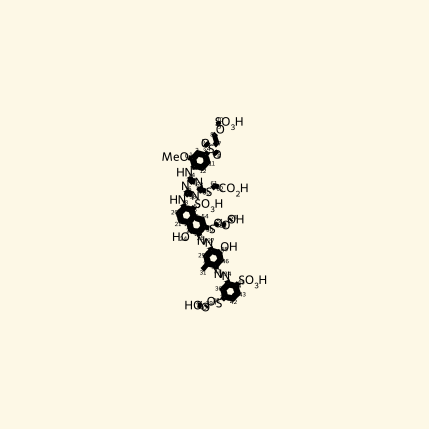 COc1cc(S(=O)(=O)CCOS(=O)(=O)O)ccc1Nc1nc(Nc2ccc3c(O)c(N=Nc4cc(C)c(N=Nc5cc(SOOO)ccc5S(=O)(=O)O)cc4O)c(SOOO)cc3c2S(=O)(=O)O)nc(SCC(=O)O)n1